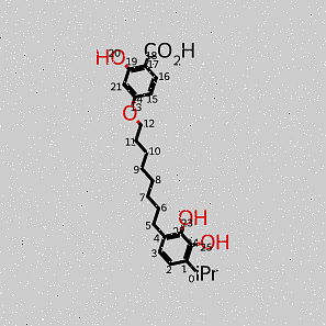 CC(C)c1ccc(CCCCCCCCOc2ccc(C(=O)O)c(O)c2)c(O)c1O